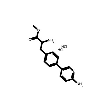 COC(=O)C(N)Cc1ccc(-c2ccc(N)nc2)cc1.Cl.Cl